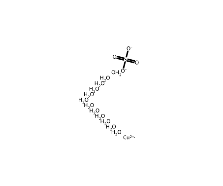 O.O.O.O.O.O.O.O.O.O.O.O.O=S(=O)([O-])[O-].[Cu+2]